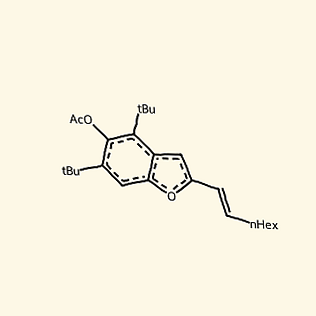 CCCCCCC=Cc1cc2c(C(C)(C)C)c(OC(C)=O)c(C(C)(C)C)cc2o1